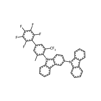 Cc1cc(-c2c(F)c(F)c(F)c(F)c2F)cc(C(F)(F)F)c1-n1c2ccccc2c2cc(-n3c4ccccc4c4ccccc43)ccc21